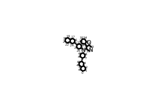 c1ccc2cc(-c3ccc(N(c4ccc(-c5ccc6ccccc6c5)cc4)c4cncc5oc6ccccc6c45)cc3)ccc2c1